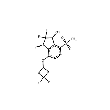 CS(=O)(=O)c1ccc(OC2CC(F)(F)C2)c2c1[C@H](O)C(F)(F)[C@@H]2F